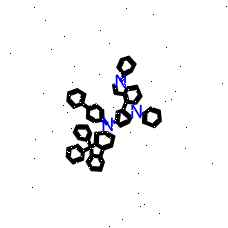 c1ccc(-c2ccc(N(c3ccc4c(c3)C(c3ccccc3)(c3ccccc3)c3ccccc3-4)c3ccc4c(c3)c3c5ccn(-c6ccccc6)c5ccc3n4-c3ccccc3)cc2)cc1